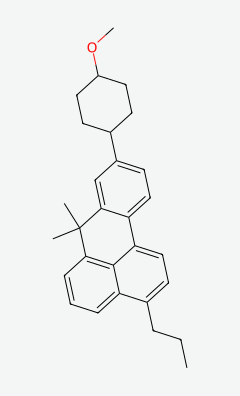 CCCc1ccc2c3c(cccc13)C(C)(C)c1cc(C3CCC(OC)CC3)ccc1-2